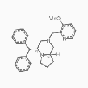 COc1cccnc1CN1C[C@@H]2CCCN2[C@H](C(c2ccccc2)c2ccccc2)C1